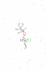 C=C[SiH](Cl)CO[Si](C)(C)C(C)(C)C